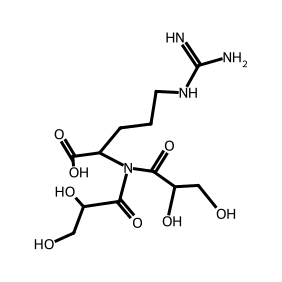 N=C(N)NCCCC(C(=O)O)N(C(=O)C(O)CO)C(=O)C(O)CO